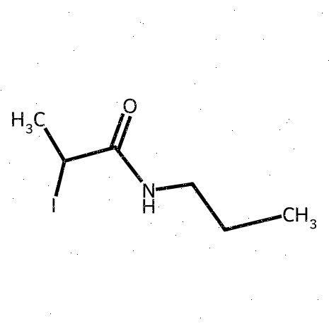 CCCNC(=O)C(C)I